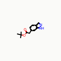 CC(C)(C)OC(=O)Cc1ccc2cn[nH]c2c1